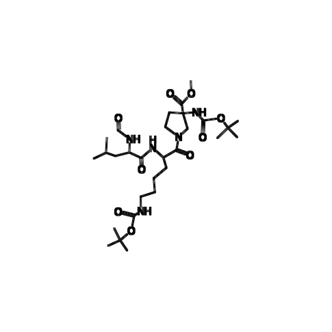 COC(=O)C1(NC(=O)OC(C)(C)C)CCN(C(=O)C(CCCCNC(=O)OC(C)(C)C)NC(=O)C(CC(C)C)NC=O)C1